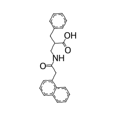 O=C(Cc1cccc2ccccc12)NCC(Cc1ccccc1)C(=O)O